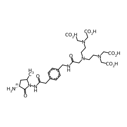 CC1C[C@@H](N)C(=O)N1NC(=O)Cc1ccc(CNC(=O)CN(CCN(CC(=O)O)CC(=O)O)CCN(CC(=O)O)CC(=O)O)cc1